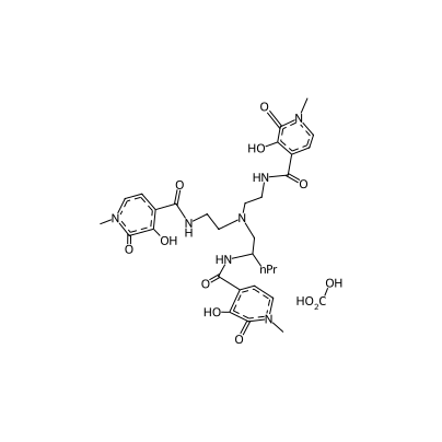 CCCC(CN(CCNC(=O)c1ccn(C)c(=O)c1O)CCNC(=O)c1ccn(C)c(=O)c1O)NC(=O)c1ccn(C)c(=O)c1O.O=C(O)O